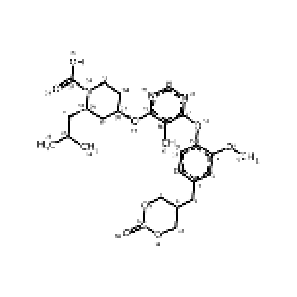 COc1cc(CC2COS(=O)OC2)ccc1Oc1ncnc(O[C@@H]2CCN(C(=O)O)[C@H](CC(C)C)C2)c1C